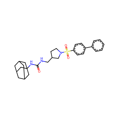 O=C(NCC1CCN(S(=O)(=O)c2ccc(-c3ccccc3)cc2)C1)NC12CC3CC(CC(C3)C1)C2